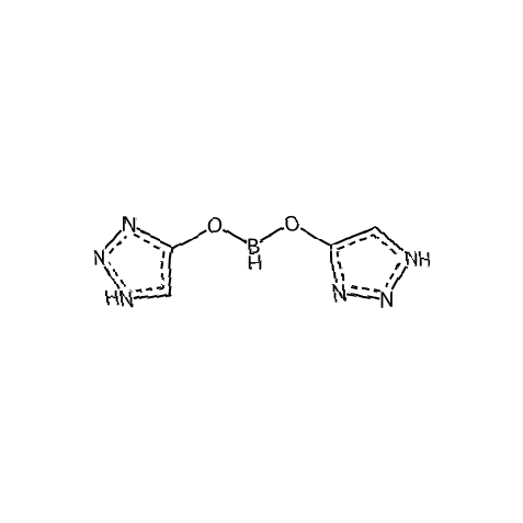 B(Oc1c[nH]nn1)Oc1c[nH]nn1